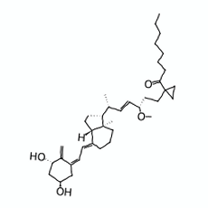 C=C1/C(=C\C=C2/CCC[C@]3(C)[C@@H]([C@H](C)/C=C/[C@H](CCC4(C(=O)CCCCCCC)CC4)OC)CC[C@@H]23)C[C@@H](O)C[C@@H]1O